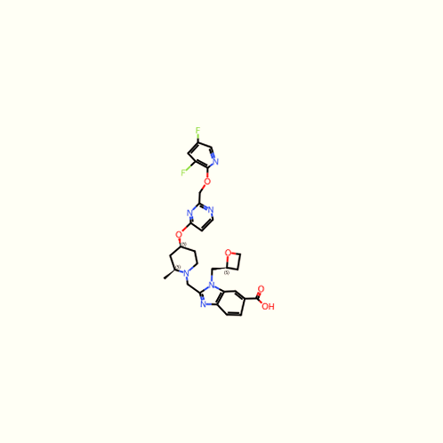 C[C@H]1C[C@@H](Oc2ccnc(COc3ncc(F)cc3F)n2)CCN1Cc1nc2ccc(C(=O)O)cc2n1C[C@@H]1CCO1